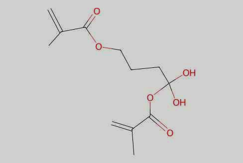 C=C(C)C(=O)OCCCC(O)(O)OC(=O)C(=C)C